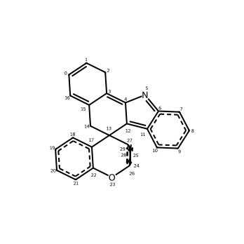 C1=CCC2=C3N=c4ccccc4=C3C3(CC2=C1)c1ccccc1Oc1ccccc13